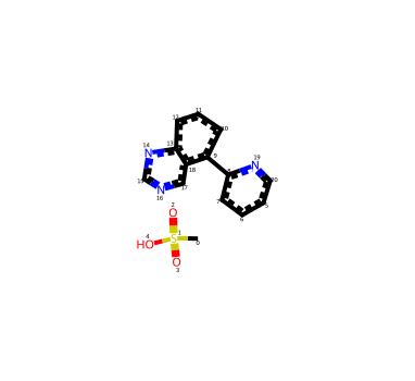 CS(=O)(=O)O.c1ccc(-c2cccc3ncncc23)nc1